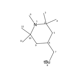 CN1C(C)(C)CC(CC(C)(C)C)CC1(C)C